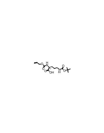 C=CCOC(=O)N[C@@H](CCCNC(=O)OC(C)(C)C)C(=O)O